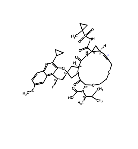 COc1ccc2nc(C3CC3)c3c(c2c1)[C@H](F)C[C@]1(C[C@H]2C(=O)N[C@]4(C(=O)NS(=O)(=O)C5(C)CC5)C[C@H]4/C=C\CCCCC[C@H](N(C(=O)O)[C@H](C)C(C)C)C(=O)N2C1)O3